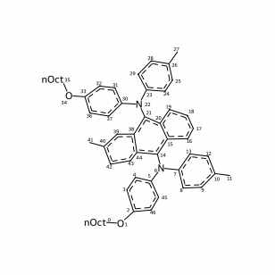 CCCCCCCCOc1ccc(N(c2ccc(C)cc2)c2c3ccccc3c(N(c3ccc(C)cc3)c3ccc(OCCCCCCCC)cc3)c3cc(C)ccc23)cc1